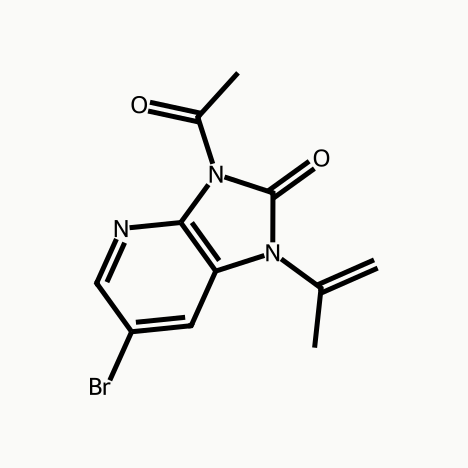 C=C(C)n1c(=O)n(C(C)=O)c2ncc(Br)cc21